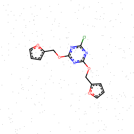 Clc1nc(OCc2ccco2)nc(OCc2ccco2)n1